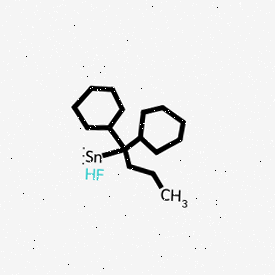 CCC[C]([Sn])(C1CCCCC1)C1CCCCC1.F